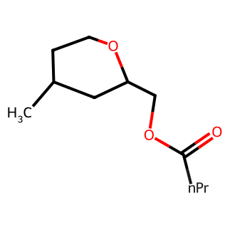 CCCC(=O)OCC1CC(C)CCO1